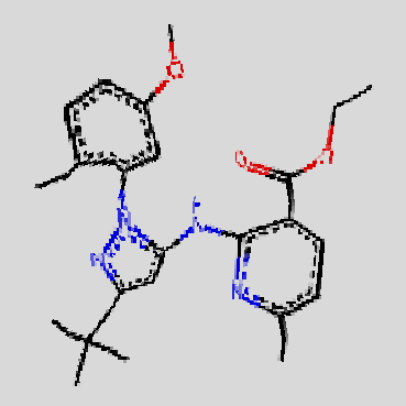 CCOC(=O)c1ccc(C)nc1Nc1cc(C(C)(C)C)nn1-c1cc(OC)ccc1C